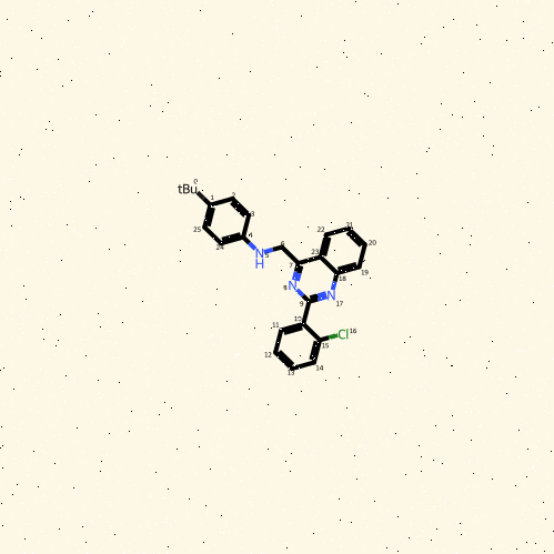 CC(C)(C)c1ccc(NCc2nc(-c3ccccc3Cl)nc3ccccc23)cc1